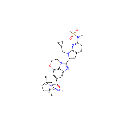 CN(c1ccc2cc(-c3nc4cc(C(=O)N5[C@H]6CC[C@@H]5[C@H](N)C6)cc5c4n3CCO5)n(CC3CC3)c2n1)S(C)(=O)=O